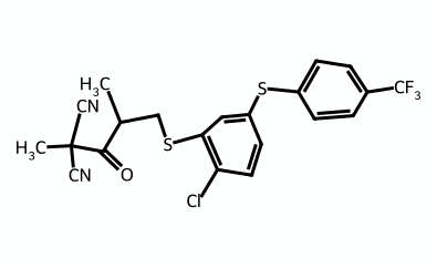 CC(CSc1cc(Sc2ccc(C(F)(F)F)cc2)ccc1Cl)C(=O)C(C)(C#N)C#N